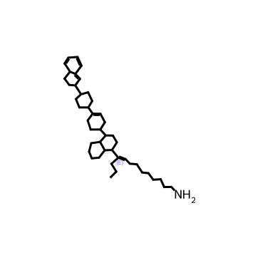 CCC/C(=C\CCCCCCCCN)C1CCC(C2CC=C(C3CCC(C4C=C5C=CC=CC5CC4)CC3)CC2)C2CCCCC12